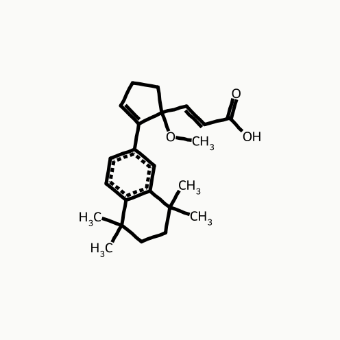 COC1(C=CC(=O)O)CCC=C1c1ccc2c(c1)C(C)(C)CCC2(C)C